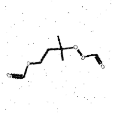 CC(C)(CCO[C]=O)OO[C]=O